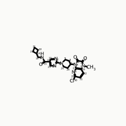 Cn1c(=O)c(=O)n(C2CCN(c3ncc(C(=O)NCC4CCC4)cn3)CC2)c2nc(Cl)ccc21